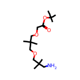 CC(C)(CN)COCC(C)(C)COCC(=O)OC(C)(C)C